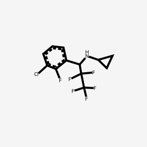 Fc1c(Cl)cccc1C(NC1CC1)C(F)(F)C(F)(F)F